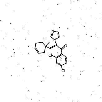 CC1(C=C(C(=O)c2ccc(Cl)cc2Cl)n2ccnc2)CC=CCC1